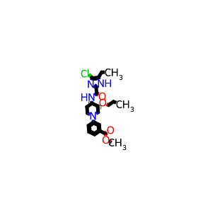 CCCO[C@H]1CN(c2cccc(C(=O)OC)c2)CC[C@H]1NC(=O)c1nc(Cl)c(CC)[nH]1